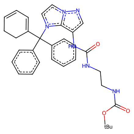 CC(C)(C)OC(=O)NCCNC(=O)Nc1cnn2ccn(C(C3=CC=CCC3)(c3ccccc3)c3ccccc3)c12